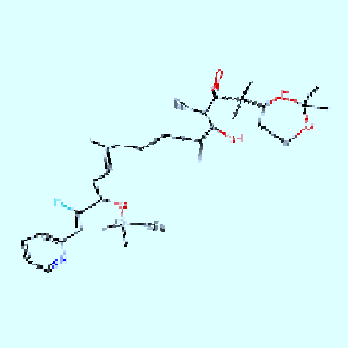 CCC(C(=O)C(C)(C)C1CCOC(C)(C)O1)C(O)C(C)CCCC(C)=CCC(O[Si](C)(C)C(C)(C)C)C(F)=Cc1ccccn1